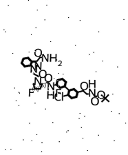 CC(C)(C)OC(=O)NCC(=O)c1ccc(Cl)c(-c2cccc(NC(=O)[C@@H]3C[C@@H](F)CN3C(=O)Cn3nc(C(N)=O)c4ccccc43)c2F)c1